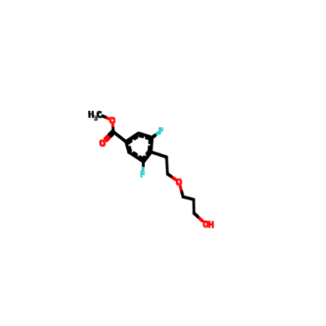 COC(=O)c1cc(F)c(CCOCCCO)c(F)c1